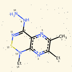 CCc1nc2c(nc1C)C(NN)=NSN2CC